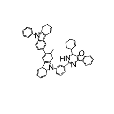 CC1CC2=C(C=C1c1ccc3c(c1)c1c(n3-c3ccccc3)CCC=C1)C1C=CC=CC1N2c1cccc(C2=Nc3c(oc4ccccc34)C(C3C=CCCC3)N2)c1